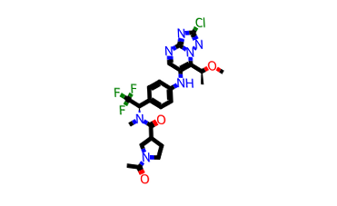 CO[C@@H](C)c1c(Nc2ccc([C@H](N(C)C(=O)C3CCN(C(C)=O)C3)C(F)(F)F)cc2)cnc2nc(Cl)nn12